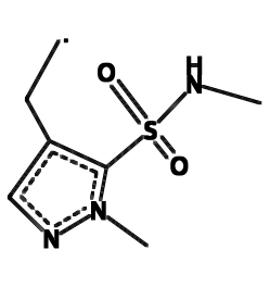 [CH2]Cc1cnn(C)c1S(=O)(=O)NC